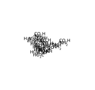 N=C(N)NCCC[C@H](N)C(=O)O.N=C(N)NCCC[C@H](N)C(=O)O.N=C(N)NCCC[C@H](N)C(=O)O.NC(=O)C[C@H](N)C(=O)O.NCC(=O)O.NCCCC[C@H](N)C(=O)O.N[C@@H](Cc1c[nH]cn1)C(=O)O.N[C@@H](Cc1ccc(O)cc1)C(=O)O.N[C@@H](Cc1ccccc1)C(=O)O